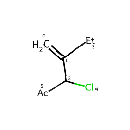 C=C(CC)C(Cl)C(C)=O